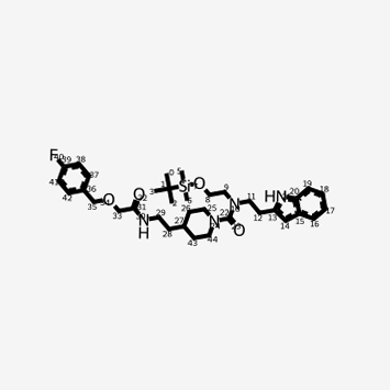 CC(C)(C)[Si](C)(C)OCCN(CCc1cc2ccccc2[nH]1)C(=O)N1CCC(CCNC(=O)COCc2ccc(F)cc2)CC1